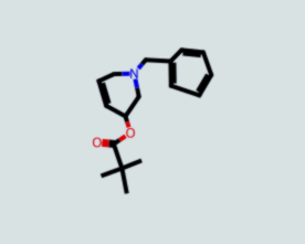 CC(C)(C)C(=O)OC1C=CCN(Cc2ccccc2)C1